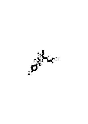 C=C[C@H](OC)[C@@H](OC(C)S(=O)(=O)c1ccc(Br)cc1)[C@H](C)/C=C(/C)CO